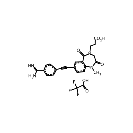 CN1C(=O)CN(CCC(=O)O)C(=O)c2cc(C#Cc3ccc(C(=N)N)cc3)ccc21.O=C(O)C(F)(F)F